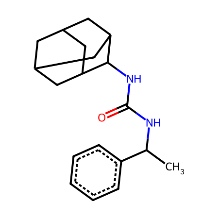 CC(NC(=O)NC1C2CC3CC(C2)CC1C3)c1ccccc1